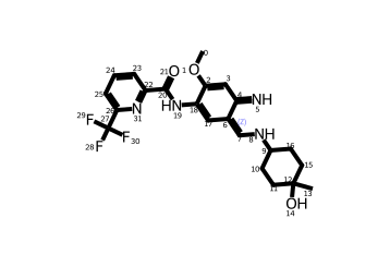 COC1=CC(=N)/C(=C\NC2CCC(C)(O)CC2)C=C1NC(=O)c1cccc(C(F)(F)F)n1